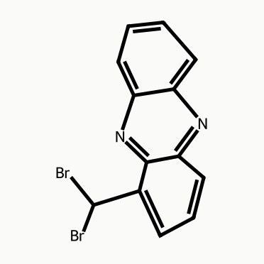 BrC(Br)c1cccc2nc3ccccc3nc12